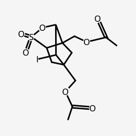 CC(=O)OCC12CC3C(COC(C)=O)(C1)C(OS3(=O)=O)C2I